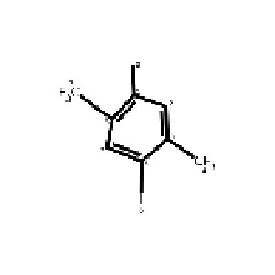 Cc1cc(C(F)(F)F)c(I)cc1C(F)(F)F